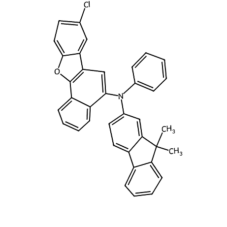 CC1(C)c2ccccc2-c2ccc(N(c3ccccc3)c3cc4c5cc(Cl)ccc5oc4c4ccccc34)cc21